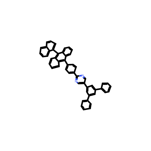 c1ccc(-c2cc(-c3ccccc3)cc(-c3cnc(-c4ccc(-c5c6ccccc6c(-c6cccc7ccccc67)c6ccccc56)cc4)nc3)c2)cc1